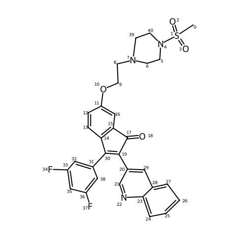 CS(=O)(=O)N1CCN(CCOc2ccc3c(c2)C(=O)C(c2cnc4ccccc4c2)=C3c2cc(F)cc(F)c2)CC1